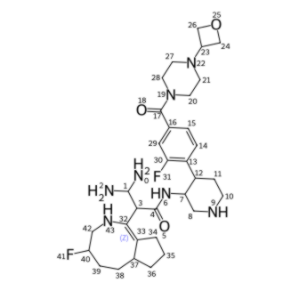 NC(N)C(C(=O)NC1CNCCC1c1ccc(C(=O)N2CCN(C3COC3)CC2)cc1F)/C1=C2\CCCC2CCC(F)CN1